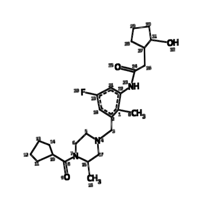 Cc1c(CN2CCN(C(=O)C3CCCC3)C(C)C2)cc(F)cc1NC(=O)CC1CCCC1O